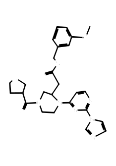 COc1cccc(CNC(=O)CC2CN(C(=O)C3CCOC3)CCN2c2ccnc(-n3ccnc3)n2)c1